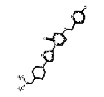 CN(C)CC1CCN(c2ccc(-n3ccc(OCc4ccc(Cl)cn4)cc3=O)cn2)CC1